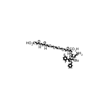 CC(C)(C)[C@H](c1cc(-c2cc(F)ccc2F)cn1Cc1ccccc1)N(CCCN)C(=O)CSCC(NC(=O)CCOCCOCCOCCOCCNC(=O)CCNC(=O)CCC(=O)O)C(=O)O